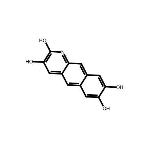 Oc1cc2cc3cc(O)c(O)nc3cc2cc1O